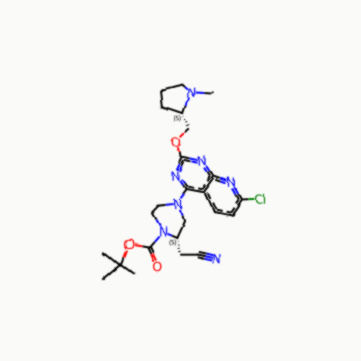 CN1CCC[C@H]1COc1nc(N2CCN(C(=O)OC(C)(C)C)[C@@H](CC#N)C2)c2ccc(Cl)nc2n1